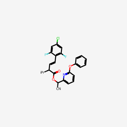 CC(C)C(/C=C/c1c(F)cc(Cl)cc1F)C(=O)OC(C#N)c1cccc(Oc2ccccc2)n1